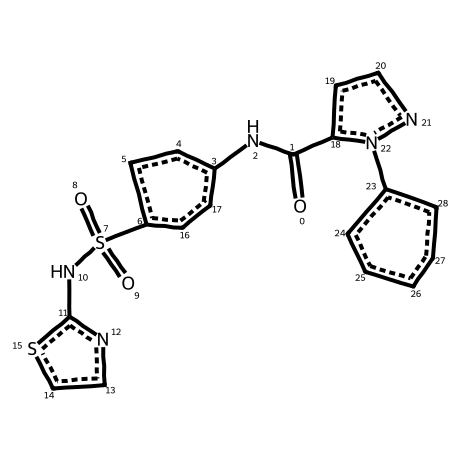 O=C(Nc1ccc(S(=O)(=O)Nc2nccs2)cc1)c1ccnn1-c1ccccc1